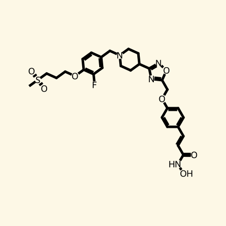 CS(=O)(=O)CCCOc1ccc(CN2CCC(c3noc(COc4ccc(C=CC(=O)NO)cc4)n3)CC2)cc1F